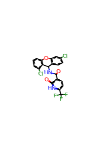 O=C(NC1c2ccc(Cl)cc2Oc2cccc(Cl)c21)c1ccc(C(F)(F)F)[nH]c1=O